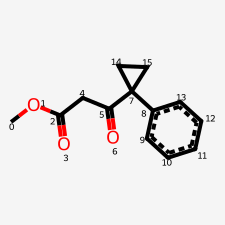 COC(=O)CC(=O)C1(c2ccccc2)CC1